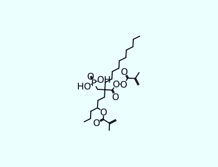 C=C(C)C(=O)OOC(=O)C(CCCCCCCCCC)(CCC(CCC)OC(=O)C(=C)C)CP(=O)(O)O